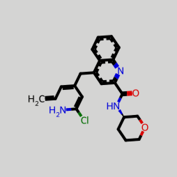 C=C/C=C(\C=C(/N)Cl)Cc1cc(C(=O)N[C@@H]2CCCOC2)nc2ccccc12